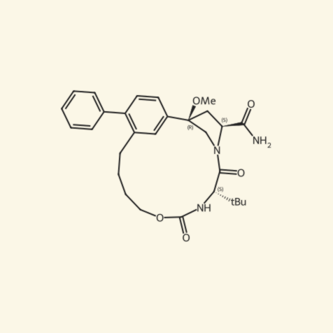 CO[C@@]12C[C@@H](C(N)=O)N(C1)C(=O)[C@H](C(C)(C)C)NC(=O)OCCCCc1cc2ccc1-c1ccccc1